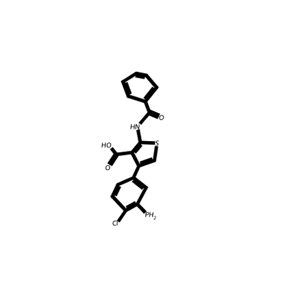 O=C(Nc1scc(-c2ccc(Cl)c(P)c2)c1C(=O)O)c1ccccc1